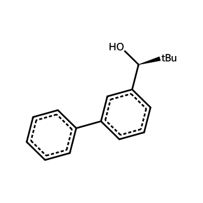 CC(C)(C)[C@H](O)c1cccc(-c2ccccc2)c1